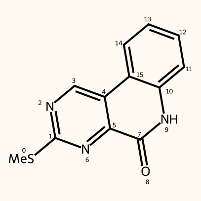 CSc1ncc2c(n1)c(=O)[nH]c1ccccc12